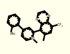 Cc1cc(C(F)(F)F)c2nccnc2c1-c1cc(-c2ccccc2C(C)(C)C)cc[n+]1C